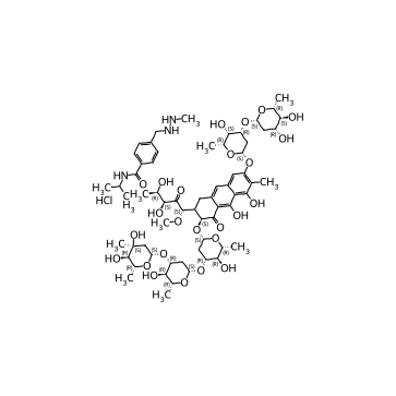 CNNCc1ccc(C(=O)NC(C)C)cc1.CO[C@H](C(=O)[C@@H](O)[C@@H](C)O)C1Cc2cc3cc(O[C@H]4C[C@@H](O[C@H]5C[C@@H](O)[C@H](O)[C@@H](C)O5)[C@@H](O)[C@@H](C)O4)c(C)c(O)c3c(O)c2C(=O)[C@H]1O[C@H]1C[C@@H](O[C@H]2C[C@@H](O[C@H]3C[C@](C)(O)[C@H](O)[C@@H](C)O3)[C@H](O)[C@@H](C)O2)[C@H](O)[C@@H](C)O1.Cl